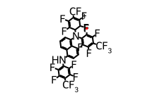 FC1=C(F)C(N(c2c(F)c(F)c(C(F)(F)F)c(F)c2F)c2cccc3c(Nc4c(F)c(F)c(C(F)(F)F)c(F)c4F)cccc23)C(F)C(F)=C1C(F)(F)F